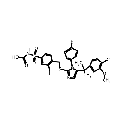 COc1cc(C(C)(C)c2cnc(SCc3ccc(S(=O)(=O)NC(=O)O)cc3F)n2-c2ccc(F)cc2)ccc1Cl